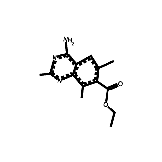 CCOC(=O)c1c(C)cc2c(N)nc(C)nc2c1C